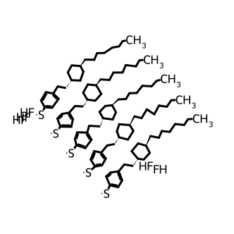 CCCCCCCC[C@H]1CC[C@H](CCc2ccc([S])cc2)CC1.CCCCCCCC[C@H]1CC[C@H](CCc2ccc([S])cc2)CC1.CCCCCCCC[C@H]1CC[C@H](CCc2ccc([S])cc2)CC1.CCCCCCCC[C@H]1CC[C@H](CCc2ccc([S])cc2)CC1.CCCCCCCC[C@H]1CC[C@H](CCc2ccc([S])cc2)CC1.F.F.F.F.F